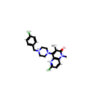 Cn1c(=O)c(C#N)c(N2CCN(Cc3ccc(Cl)cc3)CC2)c2nc(Cl)ccc21